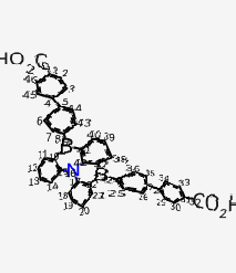 O=C(O)c1ccc(-c2ccc(B3c4ccccc4N4c5ccccc5B(c5ccc(-c6ccc(C(=O)O)cc6)cc5)c5cccc3c54)cc2)cc1